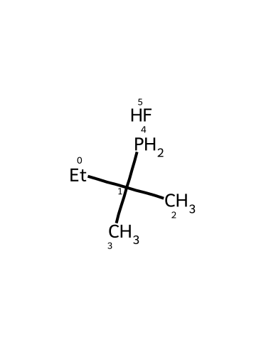 CCC(C)(C)P.F